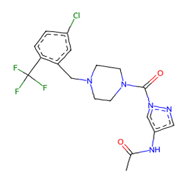 CC(=O)Nc1cnn(C(=O)N2CCN(Cc3cc(Cl)ccc3C(F)(F)F)CC2)c1